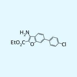 CCOC(=O)c1oc2cc(-c3ccc(Cl)cc3)ccc2c1N